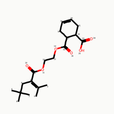 CC(C)=C(CC(C)(C)C)C(=O)OCCOC(=O)C1CC=CCC1C(=O)O